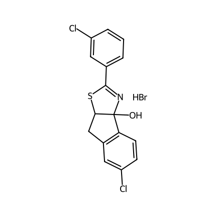 Br.OC12N=C(c3cccc(Cl)c3)SC1Cc1cc(Cl)ccc12